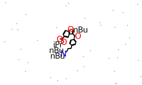 CCCCc1oc2ccc(C(=O)OC(C)C)cc2c1C(=O)c1ccc(CCCN(CCCC)CCCC)cc1